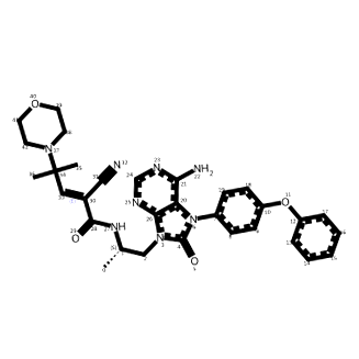 C[C@@H](Cn1c(=O)n(-c2ccc(Oc3ccccc3)cc2)c2c(N)ncnc21)NC(=O)/C(C#N)=C/C(C)(C)N1CCOCC1